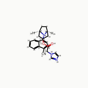 N#Cc1ccc(N2[C@@H]3CC[C@H]2C[C@@H](OC(=O)Cn2ccnc2)C3)c2ccccc12